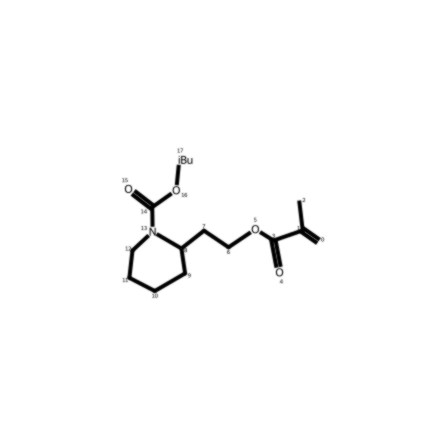 C=C(C)C(=O)OCCC1CCCCN1C(=O)OC(C)CC